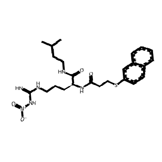 CC(C)CCNC(=O)[C@H](CCCNC(=N)N[N+](=O)[O-])NC(=O)CCSc1ccc2ccccc2c1